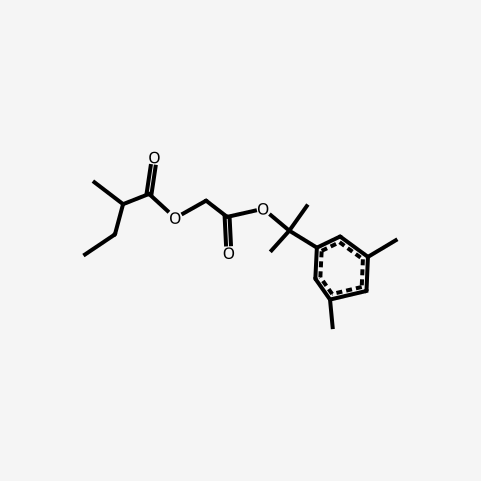 CCC(C)C(=O)OCC(=O)OC(C)(C)c1cc(C)cc(C)c1